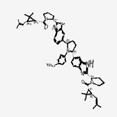 CC(C)=C[C@@H]1[C@@H](C(=O)N2CCC[C@H]2c2nc3ccc([C@H]4CC[C@H](c5ccc6nc([C@@H]7CCCN7C(=O)[C@@H]7[C@@H](C=C(C)C)C7(C)C)[nH]c6c5)N4c4ccc(C(C)(C)C)cc4)cc3[nH]2)C1(C)C